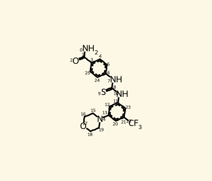 NC(=O)c1ccc(NC(=S)Nc2cc(N3CCOCC3)cc(C(F)(F)F)c2)cc1